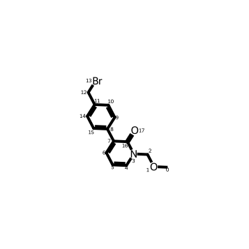 COCn1cccc(-c2ccc(CBr)cc2)c1=O